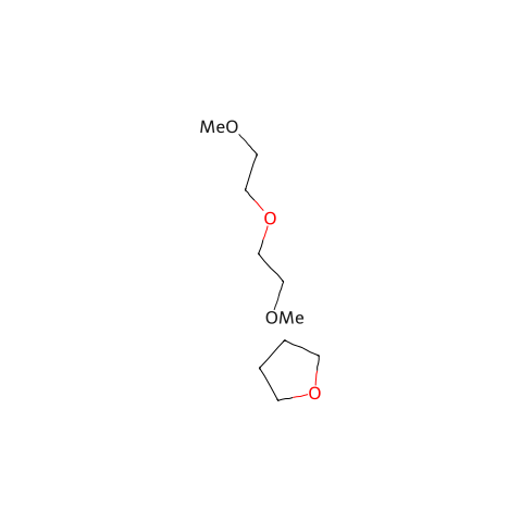 C1CCOC1.COCCOCCOC